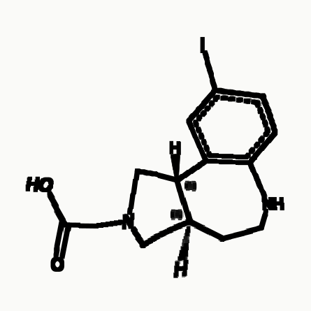 O=C(O)N1C[C@@H]2CCNc3ccc(I)cc3[C@H]2C1